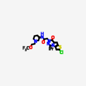 CC(C)c1nn(CC(=O)N[C@@H]2CCCN(CCOC(F)(F)F)C2)c(=O)c2cc3sc(Cl)cc3n12